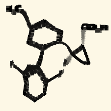 CCOC(=O)[C@@H]1C[C@@]1(F)c1ccc(C)cc1-c1c(F)cccc1F